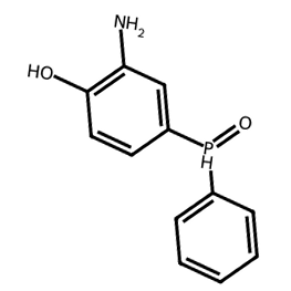 Nc1cc([PH](=O)c2ccccc2)ccc1O